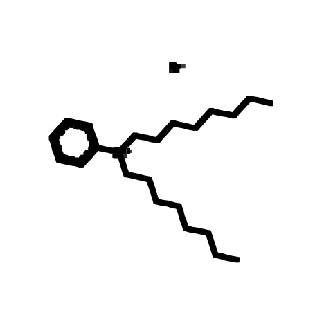 CCCCCCC[CH2][Sn+]([CH2]CCCCCCC)[c]1ccccc1.[Br-]